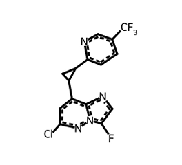 Fc1cnc2c(C3CC3c3ccc(C(F)(F)F)cn3)cc(Cl)nn12